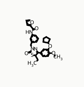 CCC1SC(=O)N(Cc2cccc(NC(=O)c3ccco3)c2)N=C1c1ccc(OC)c(OC2CCCC2)c1